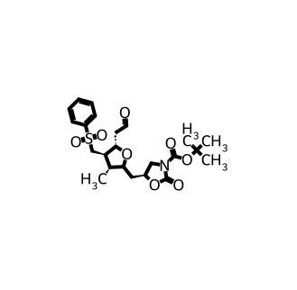 C[C@H]1C(C[C@H]2CN(C(=O)OC(C)(C)C)C(=O)O2)O[C@@H](CC=O)[C@@H]1CS(=O)(=O)c1ccccc1